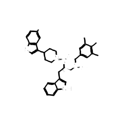 CC(=O)N(Cc1cc(C)c(C)c(C)c1)C[C@@H](Cc1c[nH]c2ccccc12)N(C(C)=O)N1CCC(c2c[nH]c3ccc(Cl)cc23)CC1